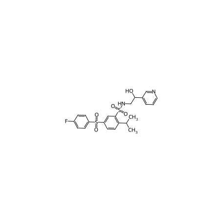 CC(C)c1ccc(S(=O)(=O)c2ccc(F)cc2)cc1S(=O)(=O)NCC(O)c1cccnc1